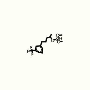 CO[SiH](OC)OC(C)CCCc1cccc(C(F)(F)F)c1